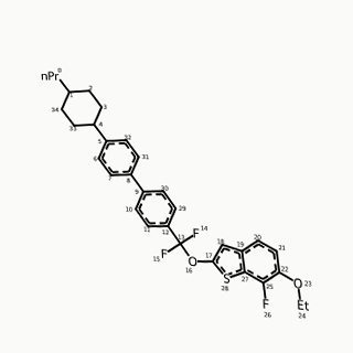 CCCC1CCC(c2ccc(-c3ccc(C(F)(F)Oc4cc5ccc(OCC)c(F)c5s4)cc3)cc2)CC1